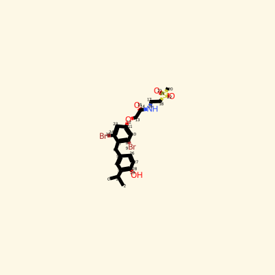 CC(C)c1cc(Cc2c(Br)cc(OCC(=O)NCCS(C)(=O)=O)cc2Br)ccc1O